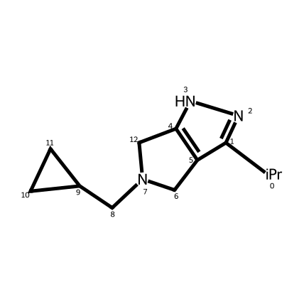 CC(C)c1n[nH]c2c1CN(CC1CC1)C2